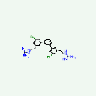 N=C(N)NCCc1cc(Br)cc(-c2cccc(-c3cc(Br)cc(CCNC(=N)N)c3)c2)c1